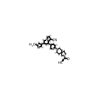 C#CC(=O)N1CCC2(CCN(c3ccc(-c4cc(-c5cnn(C)c5)cn5ncc(C#N)c45)cn3)CC2)C1